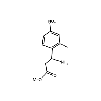 COC(=O)CC(N)c1ccc([N+](=O)[O-])cc1C